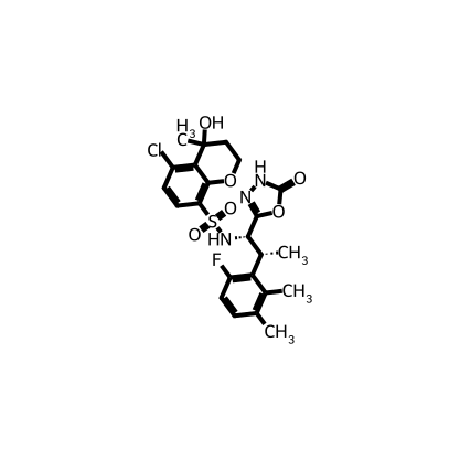 Cc1ccc(F)c([C@@H](C)[C@H](NS(=O)(=O)c2ccc(Cl)c3c2OCCC3(C)O)c2n[nH]c(=O)o2)c1C